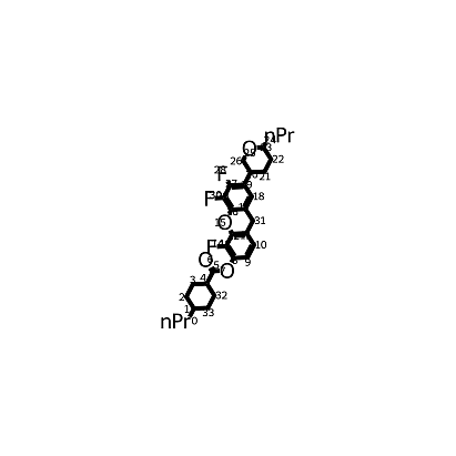 CCCC1CCC(C(=O)Oc2ccc3c(c2F)Oc2c(cc(C4CCC(CCC)OC4)c(F)c2F)C3)CC1